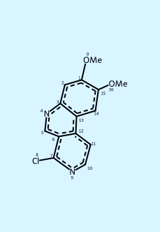 COc1cc2ncc3c(Cl)nccc3c2cc1OC